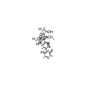 CC(O)C(=O)N(C)[C@@]12CC[C@@H](c3cc(-c4c(F)cccc4F)nnc31)C2(C)C